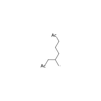 [CH2]C(CCCC(C)=O)CC(C)=O